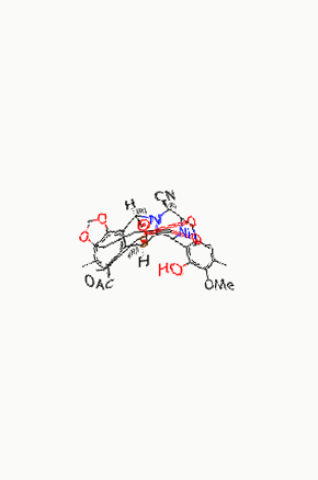 COc1c(C)cc2c(c1O)C1NC(C2)[C@H](C#N)N2C1[C@@H]1SCC(=O)C(=O)OC[C@H]2c2c3c(c(C)c(OC(C)=O)c21)OCO3